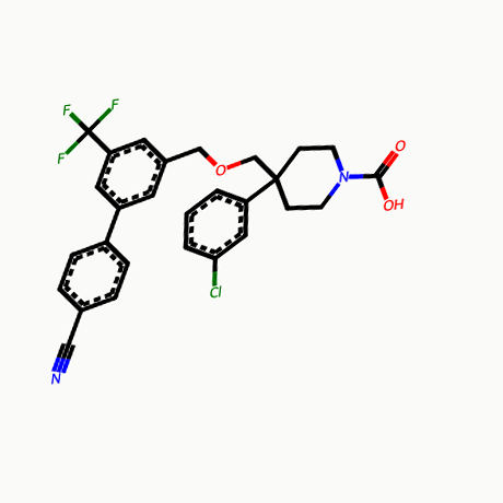 N#Cc1ccc(-c2cc(COCC3(c4cccc(Cl)c4)CCN(C(=O)O)CC3)cc(C(F)(F)F)c2)cc1